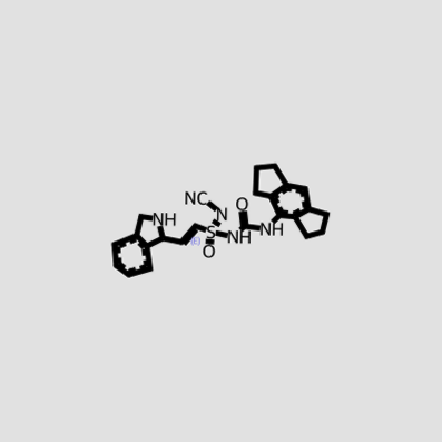 N#CN=S(=O)(/C=C/C1NCc2ccccc21)NC(=O)Nc1c2c(cc3c1CCC3)CCC2